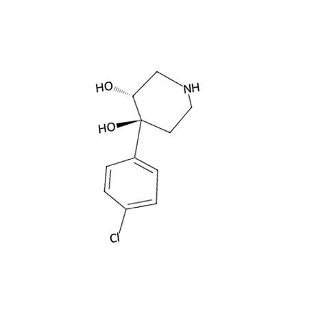 O[C@@H]1CNCC[C@]1(O)c1ccc(Cl)cc1